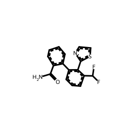 NC(=O)c1ccccc1-c1cccc(C(F)F)c1-c1nccs1